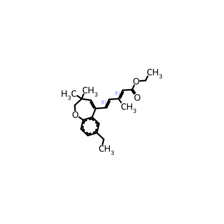 CCOC(=O)/C=C(C)/C=C/C1=CC(C)(C)COc2ccc(CC)cc21